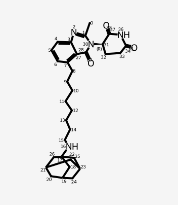 Cc1nc2cccc(CCCCCCCCNC34CC5CC(CC(C5)C3)C4)c2c(=O)n1[C@@H]1CCC(=O)NC1=O